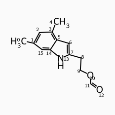 Cc1cc(C)c2cc(CCOC=O)[nH]c2c1